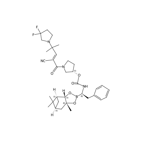 CC1(C)[C@H]2C[C@@H]1[C@@H]1OB([C@H](Cc3ccccc3)NC(=O)O[C@H]3CCN(C(=O)C(C#N)=CC(C)(C)N4CCC(F)(F)C4)C3)O[C@]1(C)C2